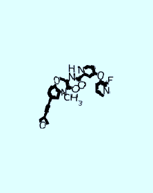 CN1C(=O)C(NC(=O)c2cc(Oc3cccnc3F)ccn2)COc2ccc(C#CC3COC3)cc21